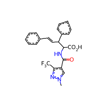 Cn1cc(C(=O)NC(C(=O)O)C(C=Cc2ccccc2)c2ccccc2)c(C(F)(F)F)n1